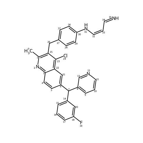 Cc1nc2ccc(C(c3cccnc3)c3cccc(F)c3)cc2c(Cl)c1Cc1ccc(N/C=C\C=N)cc1